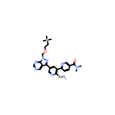 CN(C)C(=O)c1ccc(-c2cc(-c3nn(COCC[Si](C)(C)C)c4ncncc34)cnc2[AsH2])nc1